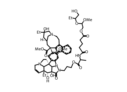 CCC(CO)OC(COC(=O)CCCC(=O)NC(C)C(=O)OCCCN1C(=O)[C@]2(O)C3N1c1cc(OC)c([C@@]4(C(=O)OC)C[C@@H]5C[N@](CCc6c4[nH]c4ccccc64)CC(O)(CC)C5)cc1[C@@]31CCN3CC=C[C@](CC)(C31)[C@H]2O)OC